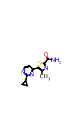 Cc1nc(C(N)=O)sc1-c1ccnc(C2CC2)n1